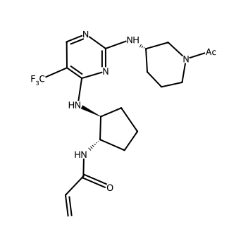 C=CC(=O)N[C@H]1CCC[C@@H]1Nc1nc(N[C@H]2CCCN(C(C)=O)C2)ncc1C(F)(F)F